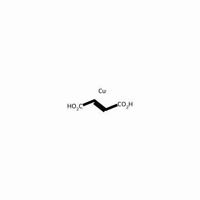 O=C(O)/C=C/C(=O)O.[Cu]